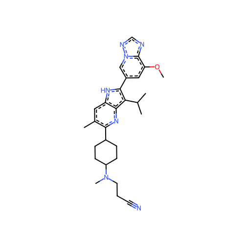 COc1cc(-c2[nH]c3cc(C)c(C4CCC(N(C)CCC#N)CC4)nc3c2C(C)C)cn2ncnc12